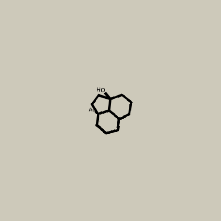 CC(=O)C12CCCC3CCCC(O)(CC1)C32